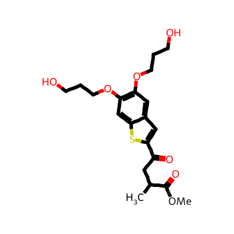 COC(=O)C(C)CC(=O)c1cc2cc(OCCCO)c(OCCCO)cc2s1